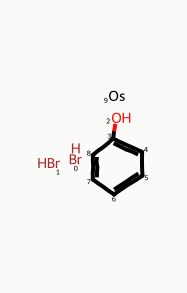 Br.Br.Oc1ccccc1.[Os]